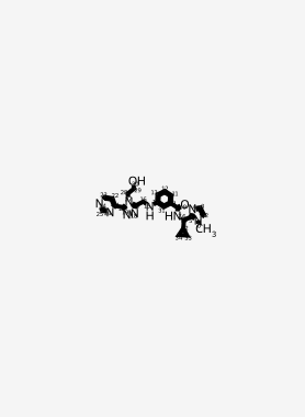 Cn1ccnc1[C@H](NC(=O)c1cccc(NCc2nnc(-c3ccncn3)n2CCO)c1)C1CC1